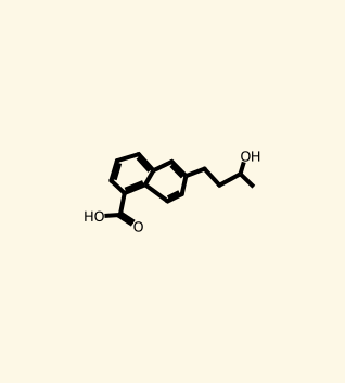 CC(O)CCc1ccc2c(C(=O)O)cccc2c1